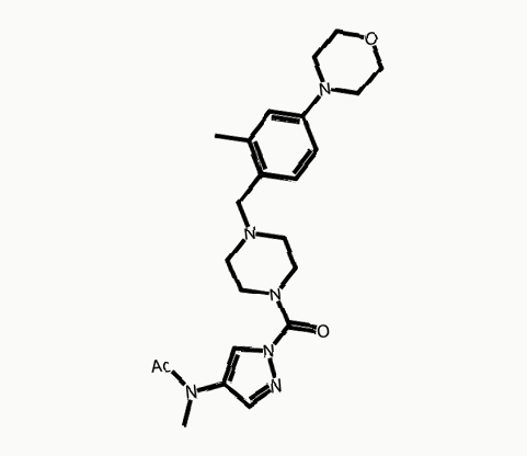 CC(=O)N(C)c1cnn(C(=O)N2CCN(Cc3ccc(N4CCOCC4)cc3C)CC2)c1